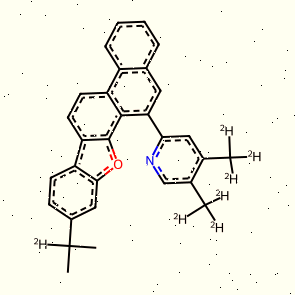 [2H]C([2H])([2H])c1cnc(-c2cc3ccccc3c3ccc4c5ccc(C([2H])(C)C)cc5oc4c23)cc1C([2H])([2H])[2H]